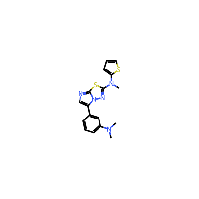 CN(C)c1cccc(-c2cnc3sc(N(C)c4cccs4)nn23)c1